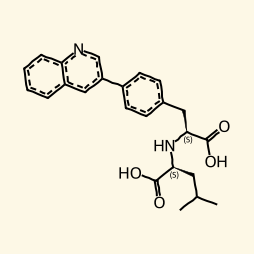 CC(C)C[C@H](N[C@@H](Cc1ccc(-c2cnc3ccccc3c2)cc1)C(=O)O)C(=O)O